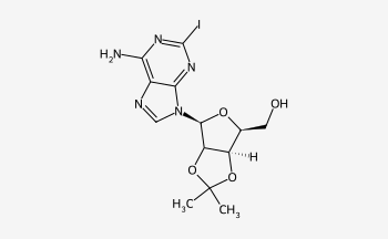 CC1(C)OC2[C@H](O1)[C@H](CO)O[C@@H]2n1cnc2c(N)nc(I)nc21